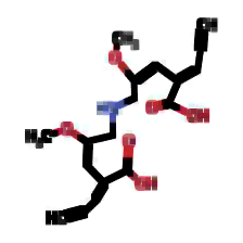 C#C/C=C(\C=C(/CNC/C(=C\C(=C/C#C)C(=O)O)OC)OC)C(=O)O